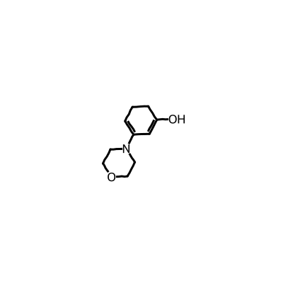 OC1=CC(N2CCOCC2)=CCC1